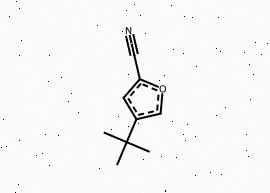 CC(C)(C)c1coc(C#N)c1